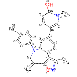 Cc1noc2c1-c1ccc(C3=CN(C)C(O)C=C3)cc1N(c1ccc(C#N)cc1)CC2C